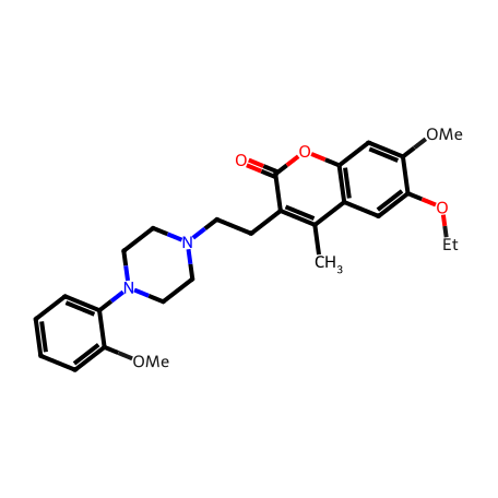 CCOc1cc2c(C)c(CCN3CCN(c4ccccc4OC)CC3)c(=O)oc2cc1OC